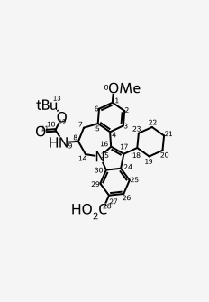 COc1ccc2c(c1)CC(NC(=O)OC(C)(C)C)Cn1c-2c(C2CCCCC2)c2ccc(C(=O)O)cc21